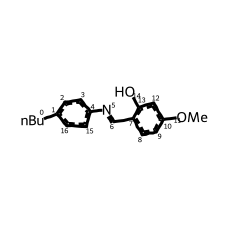 CCCCc1ccc(/N=C/c2ccc(OC)cc2O)cc1